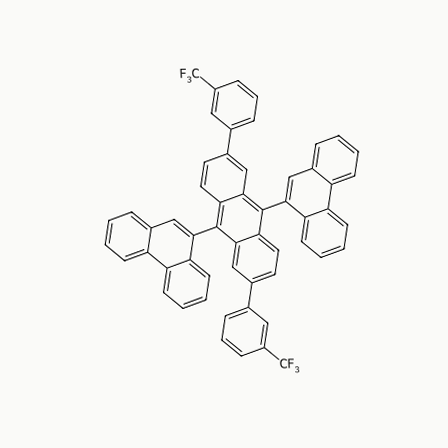 FC(F)(F)c1cccc(-c2ccc3c(-c4cc5ccccc5c5ccccc45)c4cc(-c5cccc(C(F)(F)F)c5)ccc4c(-c4cc5ccccc5c5ccccc45)c3c2)c1